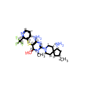 C[C@H]1C[C@@H](N)C2(CCN(C3=NC(N)=C(Sc4cccnc4C(F)(F)F)C(O)N3C)CC2)C1